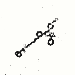 Cc1nn2c(N3CCN(CCO)CC3)cc(-c3cccc(CCCCCCCNC(=O)CC45CCC(CC4)C5)c3)nc2c1-c1ccccc1